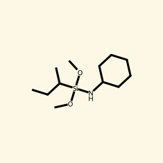 CCC(C)[Si](NC1CCCCC1)(OC)OC